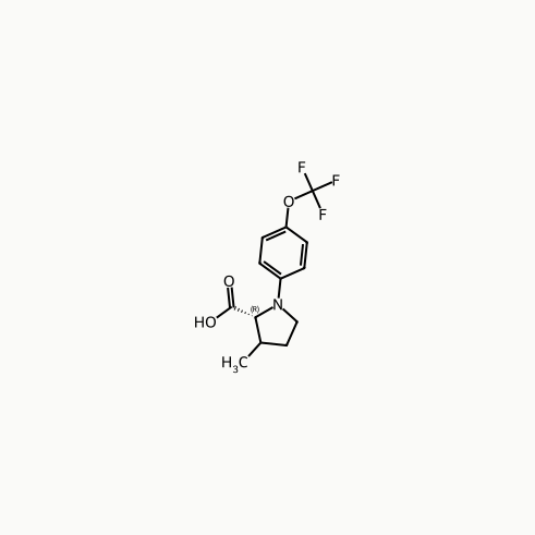 CC1CCN(c2ccc(OC(F)(F)F)cc2)[C@H]1C(=O)O